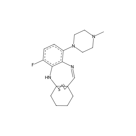 CN1CCN(c2ccc(F)c3c2N=CC24C=CSC2(CCCC4)N3)CC1